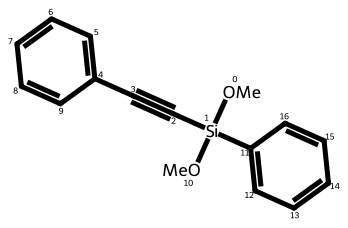 CO[Si](C#Cc1ccccc1)(OC)c1ccccc1